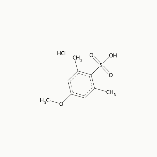 COc1cc(C)c(S(=O)(=O)O)c(C)c1.Cl